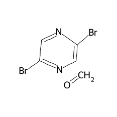 Brc1cnc(Br)cn1.C=O